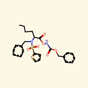 CCCCC(C(=O)ONC(=O)OCc1ccccc1)N(Cc1ccccc1)S(=O)(=O)c1cccs1